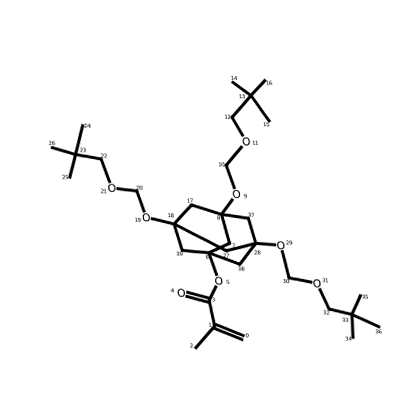 C=C(C)C(=O)OC12CC3(OCOCC(C)(C)C)CC(OCOCC(C)(C)C)(CC(OCOCC(C)(C)C)(C3)C1)C2